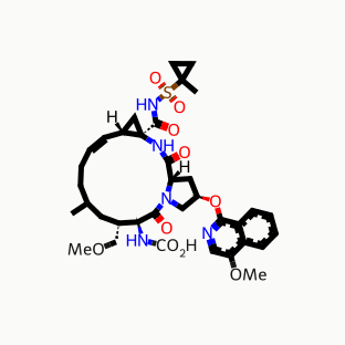 COC[C@@H]1CC(C)CC/C=C\[C@@H]2C[C@@]2(C(=O)NS(=O)(=O)C2(C)CC2)NC(=O)[C@@H]2C[C@@H](Oc3ncc(OC)c4ccccc34)CN2C(=O)[C@H]1NC(=O)O